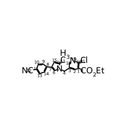 CCOC(=O)c1cc(Cn2cc(-c3ccc(C#N)cc3)cc2C)cnc1Cl